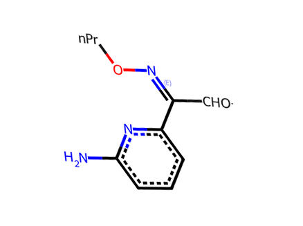 CCCO/N=C(/[C]=O)c1cccc(N)n1